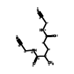 CC(CCC(=O)NCC#N)C(=O)NCC#N